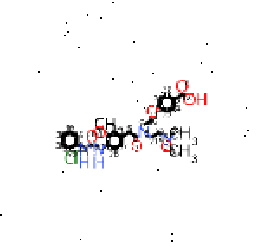 COc1cc(CC(=O)N(CCOc2ccc(C(=O)O)cc2)CCN(C)OC)ccc1NC(=O)Nc1ccccc1Cl